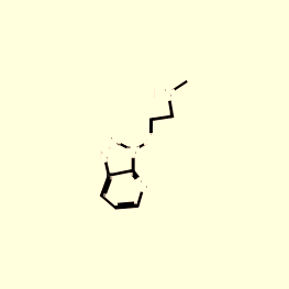 CNCCOn1nnc2cccnc21